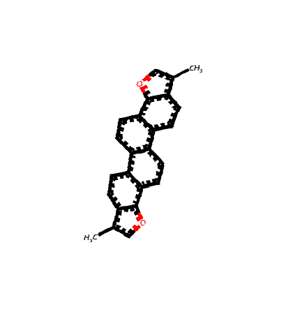 Cc1coc2c1ccc1c3ccc4c(ccc5c(C)coc54)c3ccc12